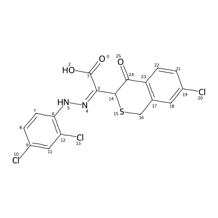 O=C(O)/C(=N\Nc1ccc(Cl)cc1Cl)C1SCc2cc(Cl)ccc2C1=O